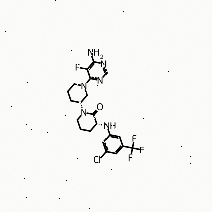 Nc1ncnc(N2CCC[C@@H](N3CCC[C@@H](Nc4cc(Cl)cc(C(F)(F)F)c4)C3=O)C2)c1F